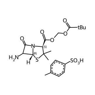 CC(C)(C)C(=O)OCOC(=O)[C@@H]1N2C(=O)C(N)[C@H]2SC1(C)C.Cc1ccc(S(=O)(=O)O)cc1